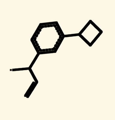 [CH2]C(C=C)c1cccc(C2CCC2)c1